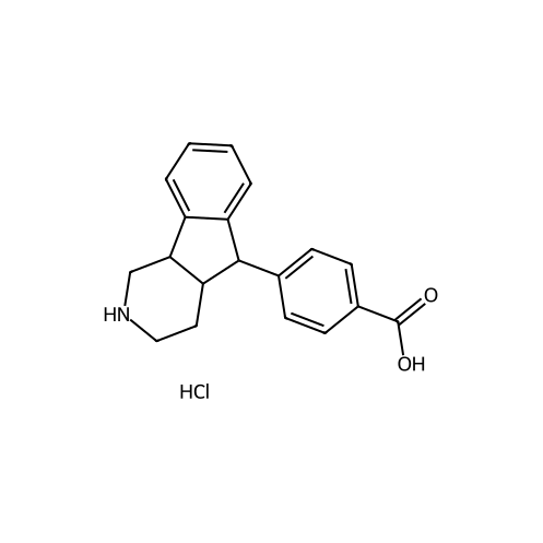 Cl.O=C(O)c1ccc(C2c3ccccc3C3CNCCC32)cc1